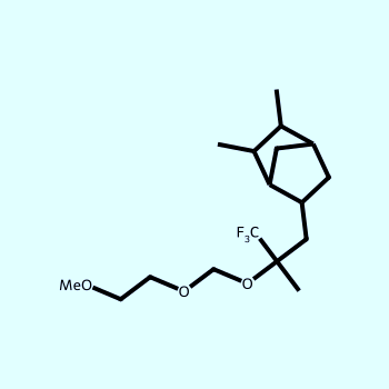 COCCOCOC(C)(CC1CC2CC1C(C)C2C)C(F)(F)F